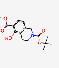 COC(=O)c1ccc2c(c1O)CCN(C(=O)OC(C)(C)C)C2